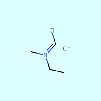 CC[N+](C)=CCl.[Cl-]